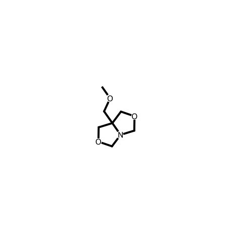 COCC12COCN1COC2